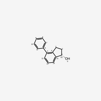 O[C@H]1CCc2c(-c3ccccc3)cccc21